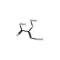 CCCCCC=C(SCCCCC)C(=O)CCCCC